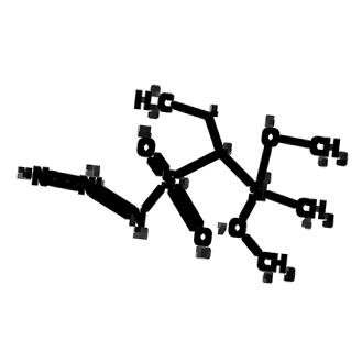 CCC([Si](C)(OC)OC)S(=O)(=O)N=[N+]=[N-]